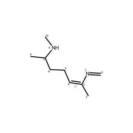 C=N/C(C)=C\CCC(C)NC